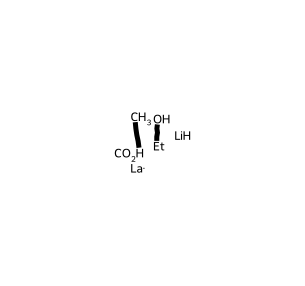 CC(=O)O.CCO.[La].[LiH]